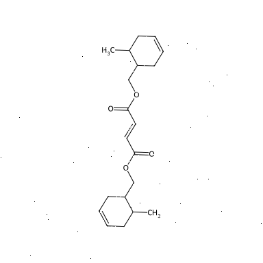 CC1CC=CCC1COC(=O)/C=C/C(=O)OCC1CC=CCC1C